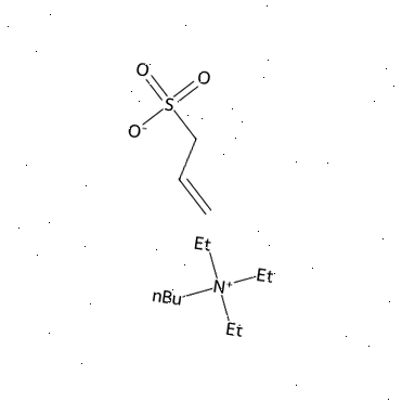 C=CCS(=O)(=O)[O-].CCCC[N+](CC)(CC)CC